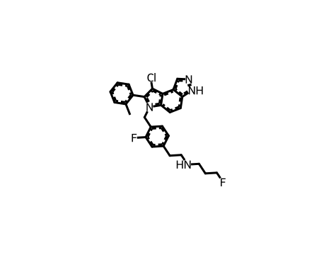 Cc1ccccc1-c1c(Cl)c2c3cn[nH]c3ccc2n1Cc1ccc(CCNCCCF)cc1F